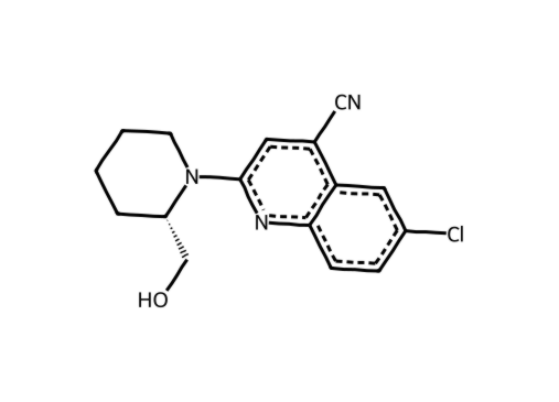 N#Cc1cc(N2CCCC[C@H]2CO)nc2ccc(Cl)cc12